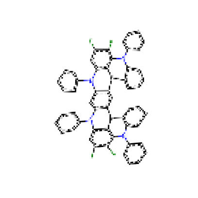 Fc1cc2c3c(c1F)N(c1ccccc1)c1ccccc1B3c1cc3c(cc1N2c1ccccc1)N(c1ccccc1)c1cc(F)c(F)c2c1B3c1ccccc1N2c1ccccc1